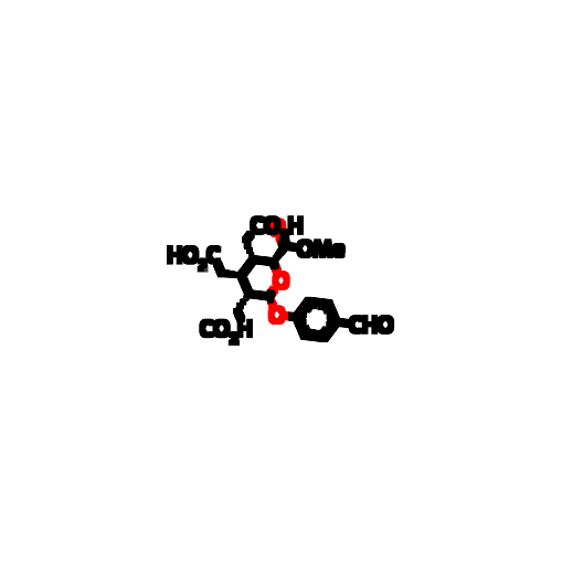 COC(=O)[C@H]1O[C@@H](Oc2ccc(C=O)cc2)[C@H](CC(=O)O)[C@@H](CC(=O)O)[C@@H]1CC(=O)O